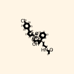 CC(=O)NCCC[C@@]1(c2ccccc2)CC1(NS(=O)(=O)c1ccc(-c2ccc(Cl)cc2)s1)C(=O)O